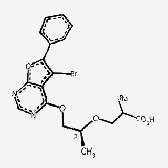 C[C@@H](COc1ncnc2oc(-c3ccccc3)c(Br)c12)OCC(C(=O)O)C(C)(C)C